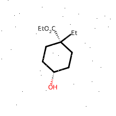 CCOC(=O)[C@]1(CC)CC[C@H](O)CC1